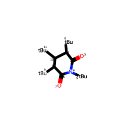 CC(C)(C)C1C(=O)N(C(C)(C)C)C(=O)C(C(C)(C)C)C1C(C)(C)C